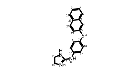 c1ccc2cc(Sc3ccc(NC4=NCCN4)cc3)ccc2c1